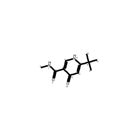 CNC(=O)c1c[nH]c(C(C)(C)C)cc1=O